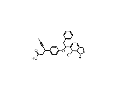 CC#CC(CC(=O)O)c1ccc(OC(Cc2ccccc2)c2ccc3cc[nH]c3c2Cl)cc1